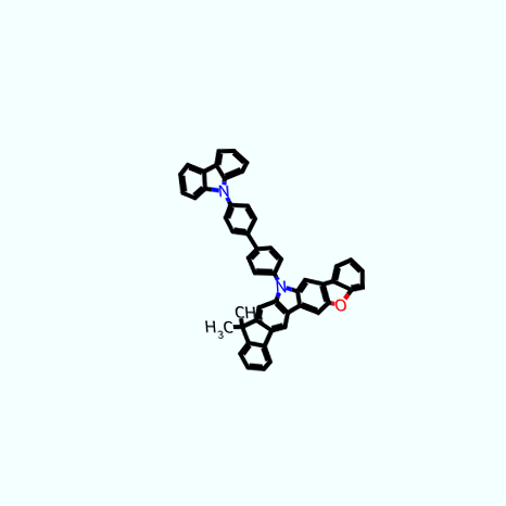 CC1(C)c2ccccc2-c2cc3c4cc5oc6ccccc6c5cc4n(-c4ccc(-c5ccc(-n6c7ccccc7c7ccccc76)cc5)cc4)c3cc21